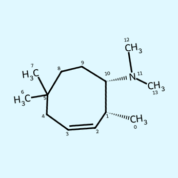 C[C@@H]1/C=C\CC(C)(C)CC[C@@H]1N(C)C